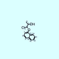 CC(O)C(Cl)Oc1cccc2ccccc12